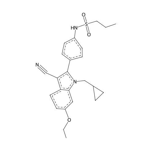 CCCS(=O)(=O)Nc1ccc(-c2c(C#N)c3ccc(OCC)cc3n2CC2CC2)cc1